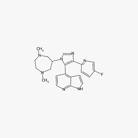 CN1CCN(C)CC(n2cnc(-c3ccc(F)cn3)c2-c2ccnc3[nH]ccc23)C1